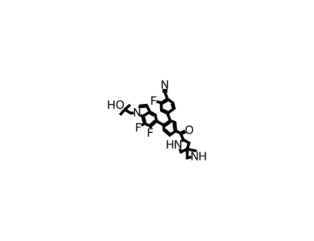 CC(C)(O)Cn1ccc2cc(-c3ccc(C(=O)C4CC5(CNC5)CN4)cc3-c3ccc(C#N)c(F)c3)c(F)c(F)c21